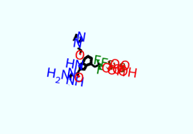 CNC(N)=NC(=O)c1cc2c(CC(F)(F)F)ccc(OCCn3ccnc3)c2[nH]1.CS(=O)(=O)O.CS(=O)(=O)O